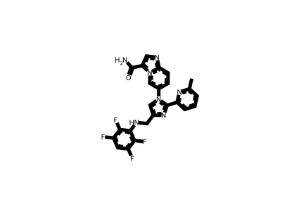 Cc1cccc(-c2nc(CNc3c(F)c(F)cc(F)c3F)cn2-c2ccc3ncc(C(N)=O)n3c2)n1